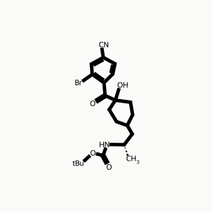 C[C@@H](CC1CCC(O)(C(=O)c2ccc(C#N)cc2Br)CC1)NC(=O)OC(C)(C)C